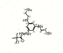 CCC(C)(C)C(=O)NNc1cc(NCCC(C)(C)C)cc(NCCC(C)(C)C)c1